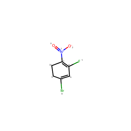 O=[N+]([O-])C1=C(F)C=C(Br)CC1